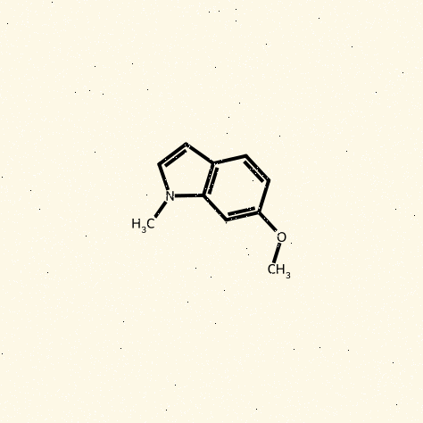 COc1[c]c2c(cc1)ccn2C